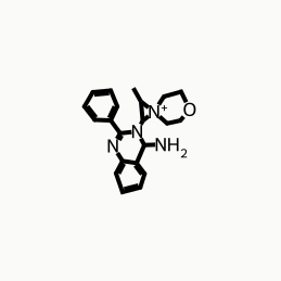 CC1C(N2C(c3ccccc3)=Nc3ccccc3C2N)[N+]12CCOCC2